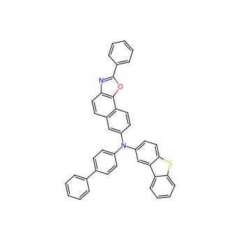 c1ccc(-c2ccc(N(c3ccc4c(ccc5nc(-c6ccccc6)oc54)c3)c3ccc4sc5ccccc5c4c3)cc2)cc1